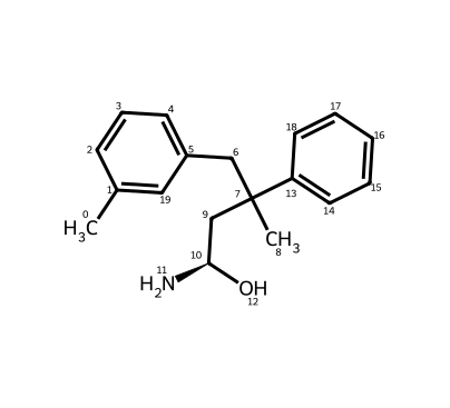 Cc1cccc(CC(C)(C[C@H](N)O)c2ccccc2)c1